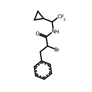 O=C(NC(C1CC1)C(F)(F)F)C(Br)Cc1ccccc1